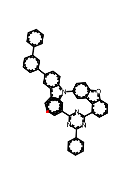 c1ccc(-c2cccc(-c3ccc4c(c3)c3ccccc3n4-c3ccc4oc5cccc(-c6nc(-c7ccccc7)nc(-c7ccccc7)n6)c5c4c3)c2)cc1